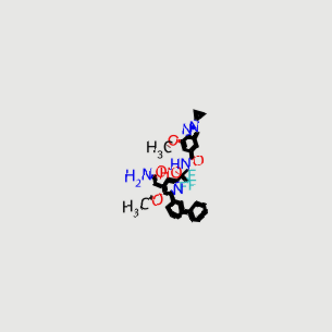 CCOc1c(CC(N)=O)cc([C@@](O)(CNC(=O)c2cc(OC)c3nn(C4CC4)cc3c2)C(F)(F)F)nc1-c1cccc(-c2ccccc2)c1